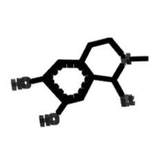 CCC1c2cc(O)c(O)cc2CCN1C